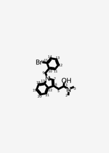 CN(C)C(O)Cc1cn(Cc2ccccc2Br)c2ccccc12